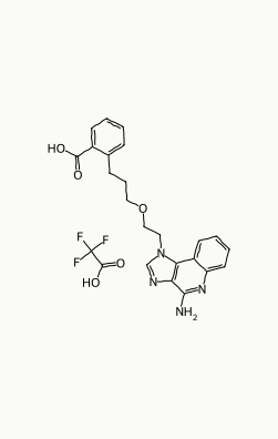 Nc1nc2ccccc2c2c1ncn2CCOCCCc1ccccc1C(=O)O.O=C(O)C(F)(F)F